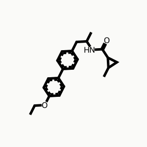 CCOc1ccc(-c2ccc(CC(C)NC(=O)C3CC3C)cc2)cc1